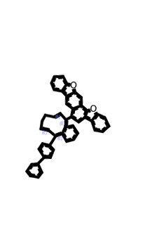 C1=C/C(c2ccc(-c3ccccc3)cc2)=c2/cccc/c2=C(c2cc3c4ccccc4oc3c3cc4oc5ccccc5c4cc23)/C=C/CC/1